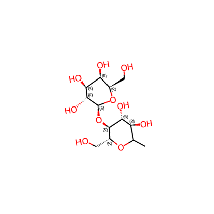 CC1O[C@H](CO)[C@@H](O[C@@H]2O[C@H](CO)[C@H](O)[C@H](O)[C@H]2O)[C@H](O)[C@H]1O